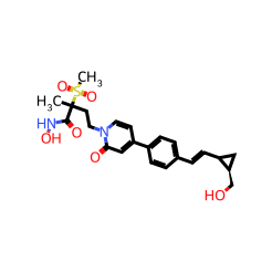 CC(CCn1ccc(-c2ccc(/C=C/C3C[C@H]3CO)cc2)cc1=O)(C(=O)NO)S(C)(=O)=O